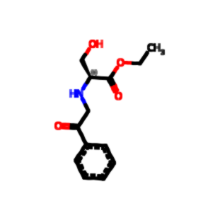 CCOC(=O)[C@H](CO)NCC(=O)c1ccccc1